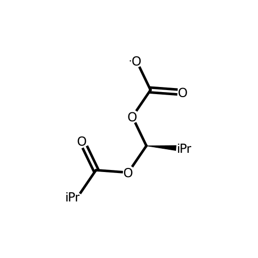 CC(C)C(=O)O[C@@H](OC([O])=O)C(C)C